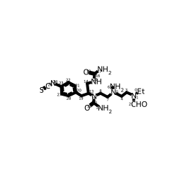 CCN(C=O)CCN(N)CCN(C(N)=O)C(CNC(N)=O)Cc1ccc(N=C=S)cc1